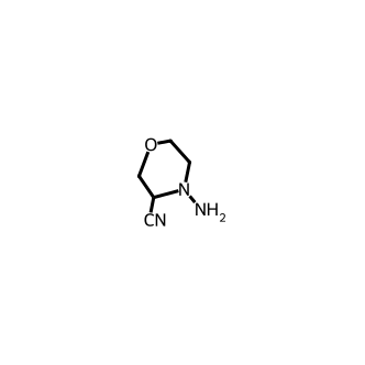 N#CC1COCCN1N